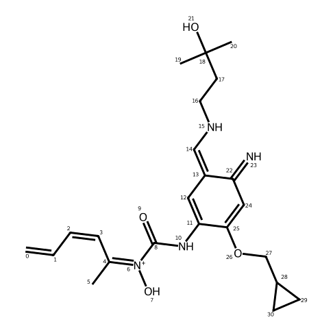 C=C/C=C\C(C)=[N+](\O)C(=O)NC1=C/C(=C/NCCC(C)(C)O)C(=N)C=C1OCC1CC1